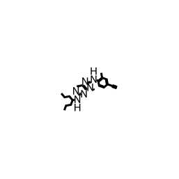 C#Cc1ccc(Nc2nc3cnc(NC(CCC)CCC)nc3n2C)c(C)c1